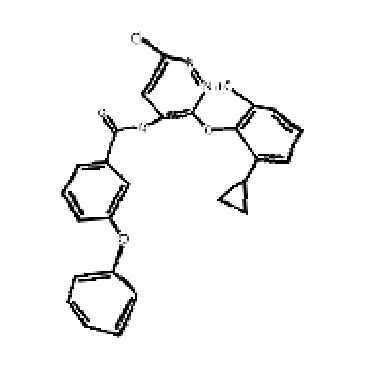 Cc1cccc(C2CC2)c1Oc1nnc(Cl)cc1OC(=O)c1cccc(Oc2ccccc2)c1